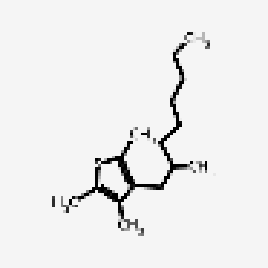 CCCCCCC(C)Cc1c(C)sc(C)c1C